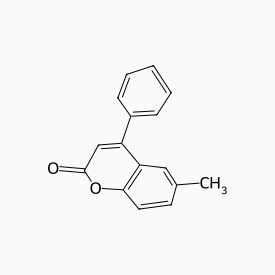 Cc1ccc2oc(=O)cc(-c3ccccc3)c2c1